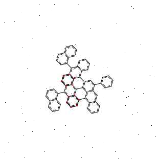 c1ccc(-c2cc(-c3c4ccccc4c(-c4cccc5ccccc45)c4ccccc34)c(-c3c4ccccc4c(-c4cccc5ccccc45)c4ccccc34)c3c(-c4ccccc4)c4ccccc4cc23)cc1